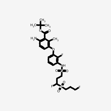 Cc1c(Oc2cccc(NS(=O)(=O)CCC(F)S(=O)(=O)CCCF)c2F)ccc(N)c1C(=O)OC(C)(C)C